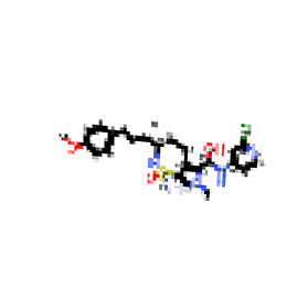 COc1ccc(CC[C@H](C)[C@H]2CCc3c(cn(C)c3C(O)Nc3ccnc(Cl)c3)S(=N)(=O)N2)cc1